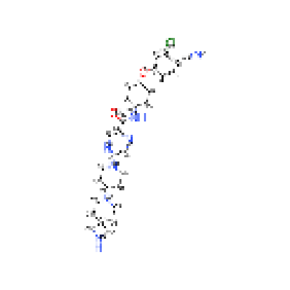 N#Cc1ccc(O[C@H]2CC[C@H](NC(=O)c3cnc(N4CCC(N5CCC6(CC5)CNC6)CC4)cn3)CC2)cc1Cl